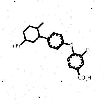 CCCC1CCC(C)C(c2ccc(Oc3ccc(C(=O)O)cc3F)cc2)C1